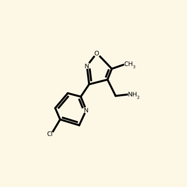 Cc1onc(-c2ccc(Cl)cn2)c1CN